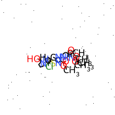 CCOC(=O)c1nc(Sc2ccnc(N3CCCC3CO)c2Cl)c(C)nc1N1CCC2(CC1)CO[C@@H](C)[C@H]2NC(=O)OC(C)(C)C